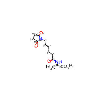 C[C@H](NC(=O)CCCCCN1C(=O)CCC1=O)C(=O)O